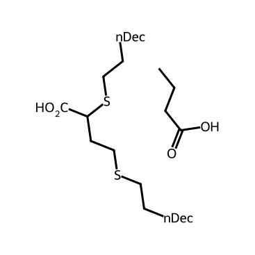 CCCC(=O)O.CCCCCCCCCCCCSCCC(SCCCCCCCCCCCC)C(=O)O